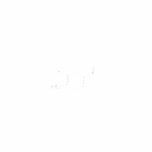 CC(=O)c1ccc2c(c1)C(C)(C)CN2